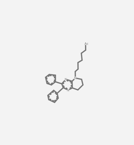 CC(=O)CCCCCCN1CCCc2nc(-c3ccccc3)c(-c3ccccc3)nc21